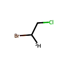 [2H][C](Br)CCl